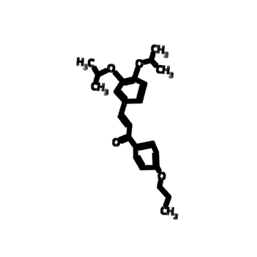 CCCOc1ccc(C(=O)C=Cc2ccc(OC(C)C)c(OC(C)C)c2)cc1